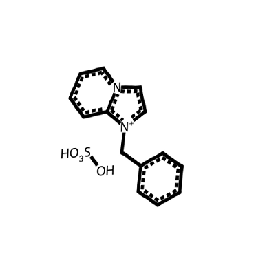 O=S(=O)(O)O.c1ccc(C[n+]2ccn3ccccc32)cc1